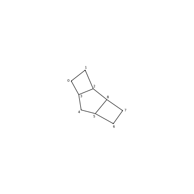 C1CC2C1CC1CCC12